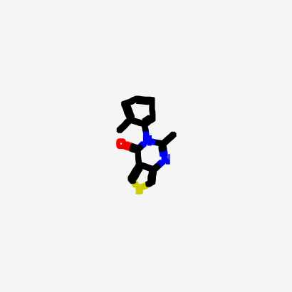 Cc1ccccc1-n1c(C)nc2cscc2c1=O